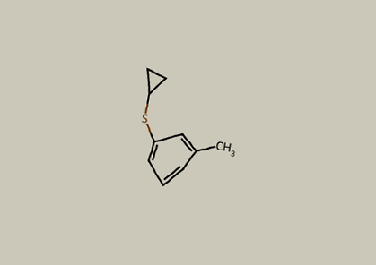 Cc1cccc(SC2CC2)c1